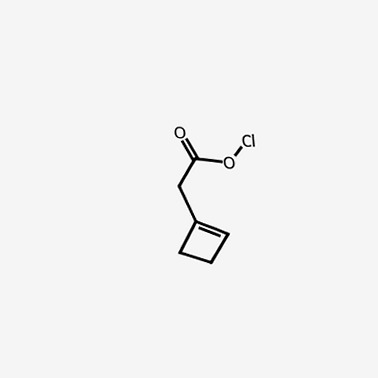 O=C(CC1=CCC1)OCl